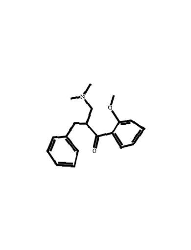 COc1ccccc1C(=O)C(Cc1ccccc1)CN(C)C